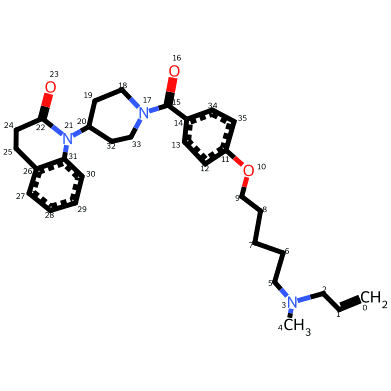 C=CCN(C)CCCCCOc1ccc(C(=O)N2CCC(N3C(=O)CCc4ccccc43)CC2)cc1